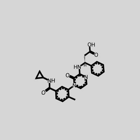 Cc1ccc(C(=O)NC2CC2)cc1-n1ccnc(N[C@H](CC(=O)O)c2ccccc2)c1=O